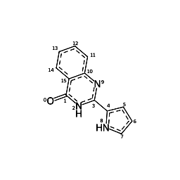 O=c1[nH]c(-c2ccc[nH]2)nc2ccccc12